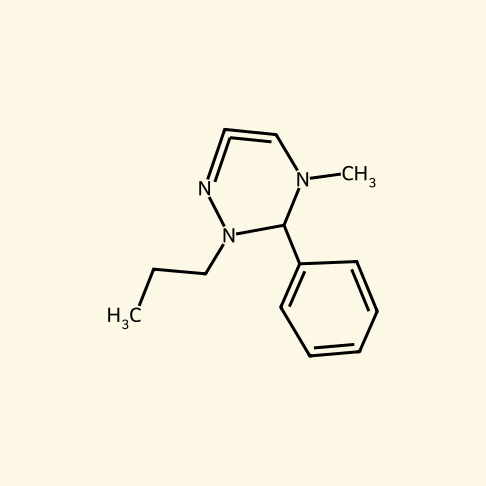 CCCN1N=C=CN(C)C1c1ccccc1